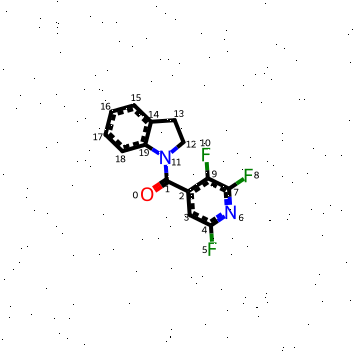 O=C(c1cc(F)nc(F)c1F)N1CCc2ccccc21